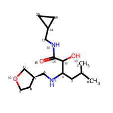 CC(C)CC(NC[C@H]1CCOC1)C(O)C(=O)NCC1CC1